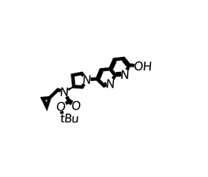 CC(C)(C)OC(=O)N(CC1CC1)[C@H]1CCN(c2cnc3nc(O)ccc3c2)C1